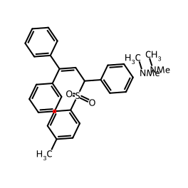 CNC.CNC.Cc1ccc(S(=O)(=O)C(C=C(c2ccccc2)c2ccccc2)c2ccccc2)cc1